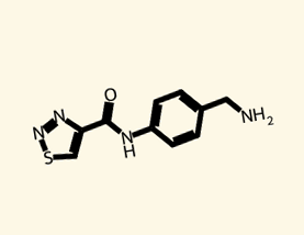 NCc1ccc(NC(=O)c2csnn2)cc1